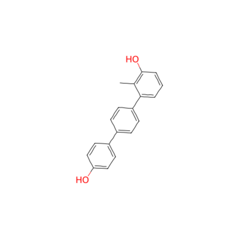 Cc1c(O)cccc1-c1ccc(-c2ccc(O)cc2)cc1